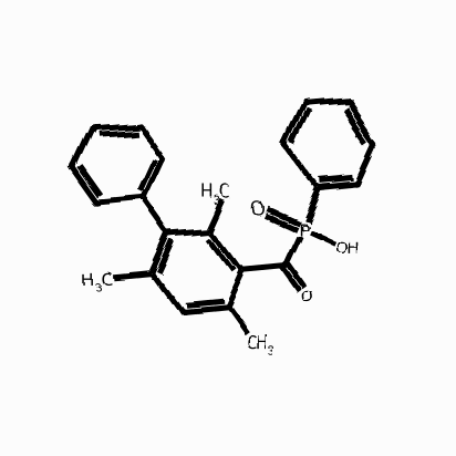 Cc1cc(C)c(-c2ccccc2)c(C)c1C(=O)P(=O)(O)c1ccccc1